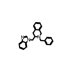 c1ccc(CN2Cc3ccccc3CC2Cn2cnc3ccccc32)cc1